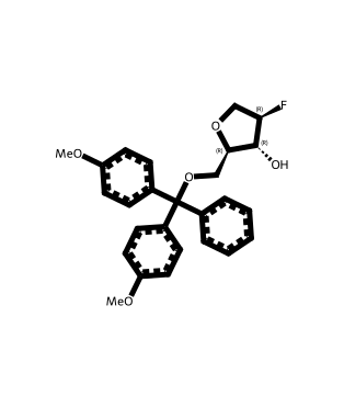 COc1ccc(C(OC[C@H]2O[CH][C@@H](F)[C@@H]2O)(c2ccccc2)c2ccc(OC)cc2)cc1